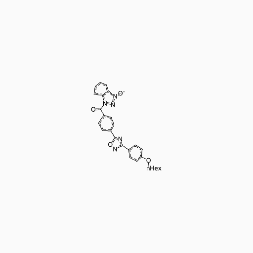 CCCCCCOc1ccc(-c2noc(-c3ccc(C(=O)n4n[n+]([O-])c5ccccc54)cc3)n2)cc1